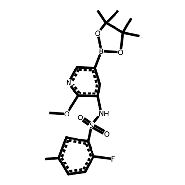 COc1ncc(B2OC(C)(C)C(C)(C)O2)cc1NS(=O)(=O)c1cc(C)ccc1F